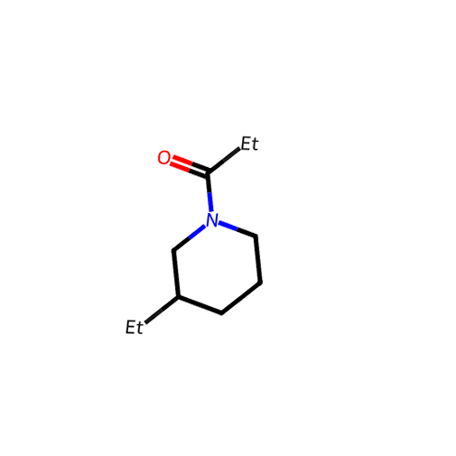 CCC(=O)N1CCCC(CC)C1